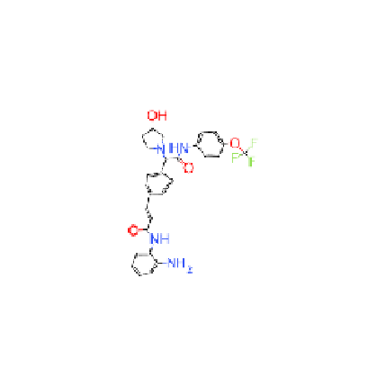 Nc1ccccc1NC(=O)/C=C/c1ccc(C(C(=O)Nc2ccc(OC(F)(F)F)cc2)N2CC[C@H](O)C2)cc1